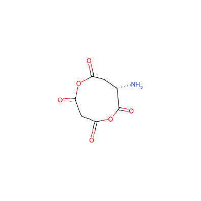 N[C@H]1CC(=O)OC(=O)CC(=O)OC1=O